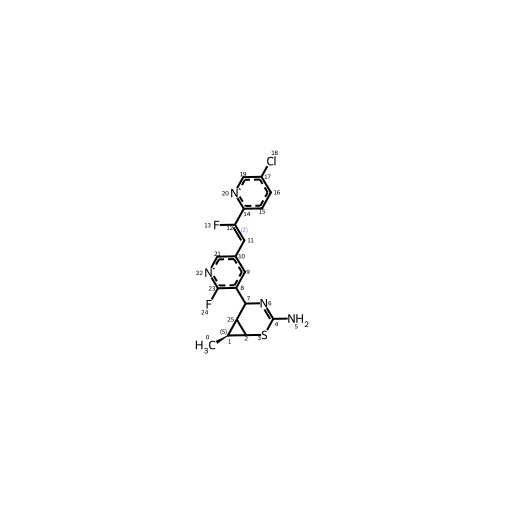 C[C@@H]1C2SC(N)=NC(c3cc(/C=C(\F)c4ccc(Cl)cn4)cnc3F)C21